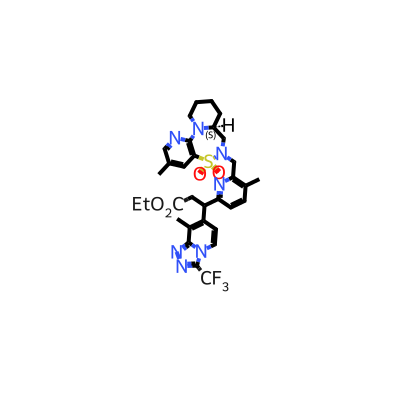 CCOC(=O)CC(c1ccc(C)c(CN2C[C@@H]3CCCCN3c3ncc(C)cc3S2(=O)=O)n1)c1ccn2c(C(F)(F)F)nnc2c1C